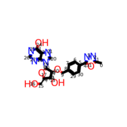 Cc1nnc(-c2ccc(CO[C@@H]3[C@H](O)[C@@H](CO)O[C@H]3n3cnc4c(O)ncnc43)cc2)o1